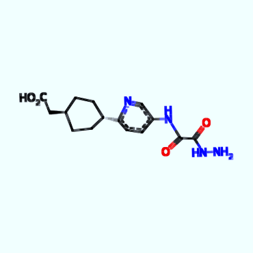 NNC(=O)C(=O)Nc1ccc([C@H]2CC[C@H](CC(=O)O)CC2)nc1